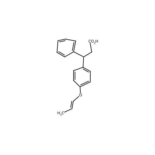 CC=COc1ccc(C(CC(=O)O)c2ccccc2)cc1